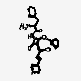 NC(CC1CCCCC1)C(=O)NN1C(=O)C(C(=O)C=Cc2ccncc2)C1Oc1ccccc1